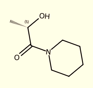 C[C@H](O)C(=O)N1CCCCC1